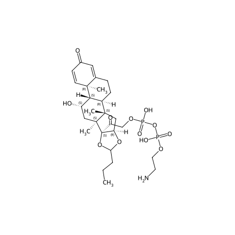 CCCC1O[C@@H]2C[C@@]3(C)[C@@H]4CCC5=CC(=O)C=C[C@]5(C)[C@H]4[C@@H](O)C[C@]3(C)[C@]2(C(=O)COP(=O)(O)OP(=O)(O)OCCN)O1